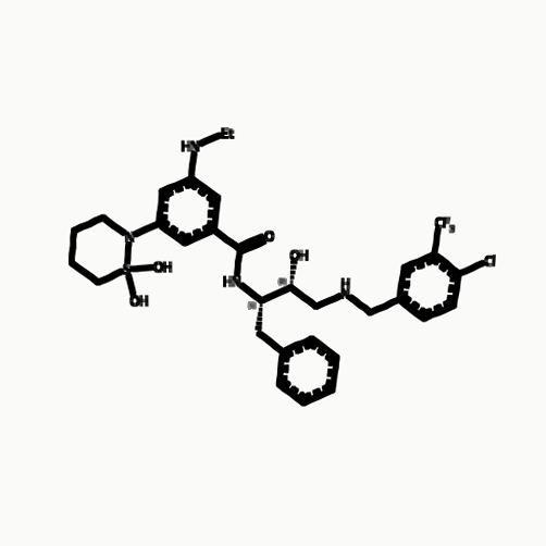 CCNc1cc(C(=O)N[C@@H](Cc2ccccc2)[C@H](O)CNCc2ccc(Cl)c(C(F)(F)F)c2)cc(N2CCCCS2(O)O)c1